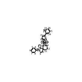 O=C1N(c2ccccc2)CCC12CCCN(S(=O)(=O)c1ccc(-c3ccccn3)s1)C2